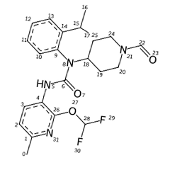 Cc1ccc(NC(=O)N(c2ccccc2C(C)C)C2CCN(C=O)CC2)c(OC(F)F)n1